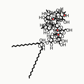 CCCCCCCCCCCCC/C=C/[C@@H](O)[C@H](CO[C@@H]1OC(CO)[C@@H](O[C@@H]2OC(CO)[C@H](O)[C@H](O[C@@H]3OC(CO)[C@@H](O[C@@H]4OC(CO)[C@H](O)[C@H](O[C@]5(C(=O)O)CC(O)[C@@H](NC(C)=O)C([C@H](O)[C@@H](CO)O[C@]6(C(=O)O)CC(O)[C@@H](NC(C)=O)C([C@H](O)[C@@H](CO)O[C@]7(C(=O)O)CC(O)[C@@H](NC(C)=O)C([C@H](O)[C@H](O)CO)O7)O6)O5)C4O)[C@H](O)C3NC(C)=O)C2O)[C@H](O)C1O)NC(=O)CCCCCCCCCCCCCCCCC